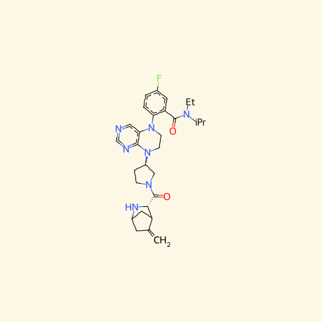 C=C1CC2CC1[C@@H](C(=O)N1CC[C@@H](N3CCN(c4ccc(F)cc4C(=O)N(CC)C(C)C)c4cncnc43)C1)N2